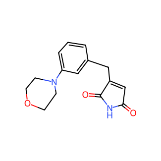 O=C1C=C(Cc2cccc(N3CCOCC3)c2)C(=O)N1